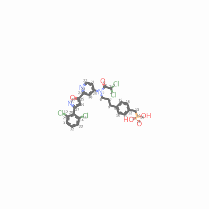 O=C(C(Cl)Cl)N(CCCc1ccc(CP(=O)(O)O)cc1)c1ccnc(-c2cc(-c3c(Cl)cccc3Cl)no2)c1